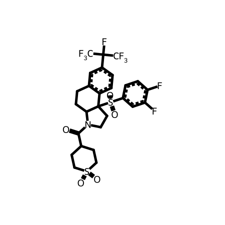 O=C(C1CCS(=O)(=O)CC1)N1CCC2(S(=O)(=O)c3ccc(F)c(F)c3)c3ccc(C(F)(C(F)(F)F)C(F)(F)F)cc3CCC12